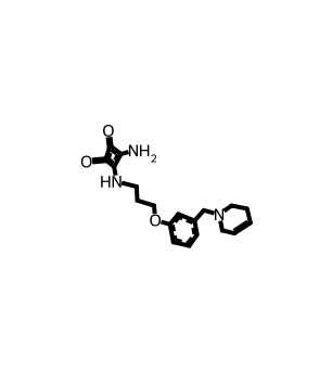 Nc1c(NCCCOc2cccc(CN3CC=CCC3)c2)c(=O)c1=O